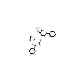 Cn1cc2c(OCC3COC(Cn4ccnc4)(c4ccc(Cl)cc4Cl)O3)cc(-c3ccccc3)nc2n1